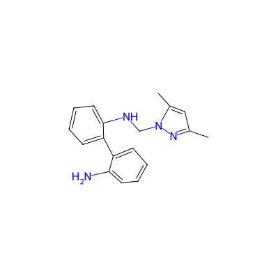 Cc1cc(C)n(CNc2ccccc2-c2ccccc2N)n1